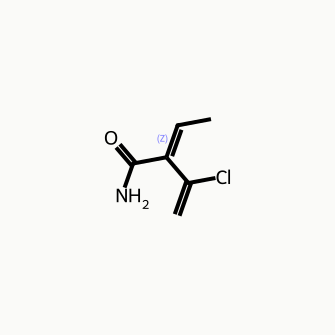 C=C(Cl)/C(=C\C)C(N)=O